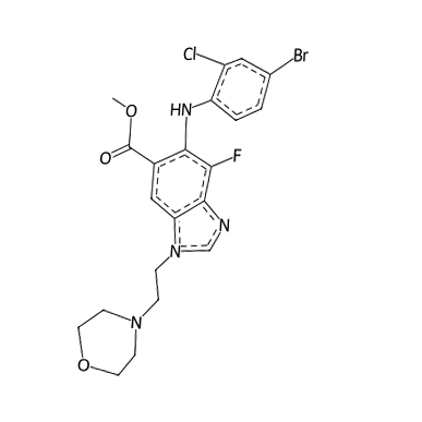 COC(=O)c1cc2c(ncn2CCN2CCOCC2)c(F)c1Nc1ccc(Br)cc1Cl